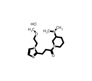 COCCn1ccnc1CCC(=O)N1CCCC(N(C)C)C1.Cl